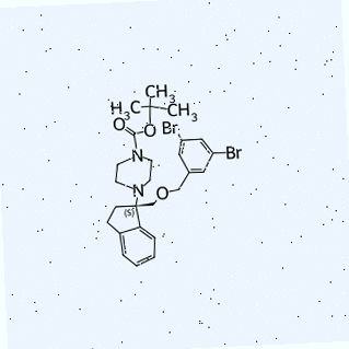 CC(C)(C)OC(=O)N1CCN([C@@]2(COCc3cc(Br)cc(Br)c3)CCc3ccccc32)CC1